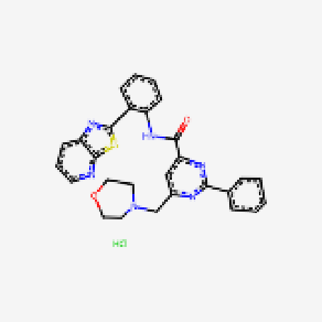 Cl.O=C(Nc1ccccc1-c1nc2cccnc2s1)c1cc(CN2CCOCC2)nc(-c2ccccc2)n1